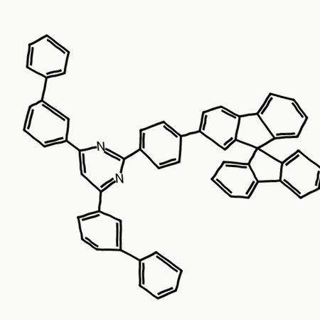 c1ccc(-c2cccc(-c3cc(-c4cccc(-c5ccccc5)c4)nc(-c4ccc(-c5ccc6c(c5)C5(c7ccccc7-c7ccccc75)c5ccccc5-6)cc4)n3)c2)cc1